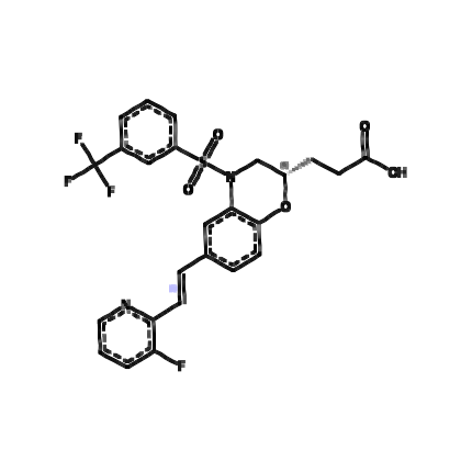 O=C(O)CC[C@H]1CN(S(=O)(=O)c2cccc(C(F)(F)F)c2)c2cc(/C=C/c3ncccc3F)ccc2O1